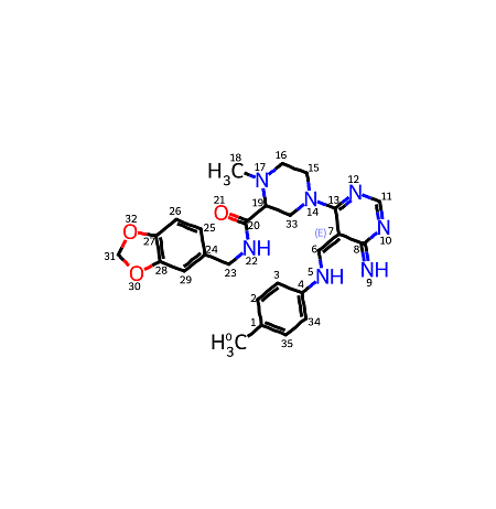 Cc1ccc(N/C=C2\C(=N)N=CN=C2N2CCN(C)C(C(=O)NCc3ccc4c(c3)OCO4)C2)cc1